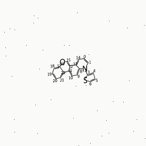 C1=CN(c2cccs2)c2ccc3c(c2=C1)=COc1ccccc1-3